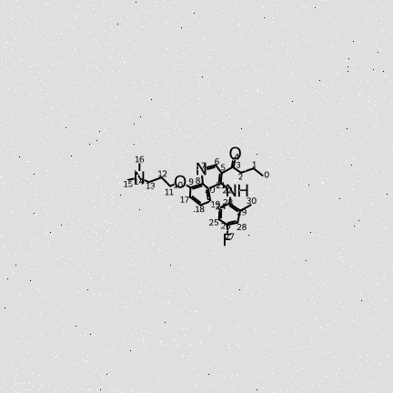 CCCC(=O)c1cnc2c(OCCCN(C)C)cccc2c1Nc1ccc(F)cc1C